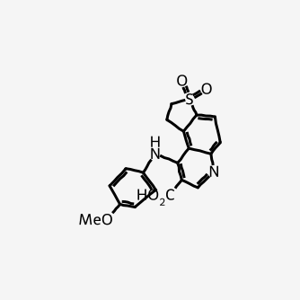 COc1ccc(Nc2c(C(=O)O)cnc3ccc4c(c23)CCS4(=O)=O)cc1